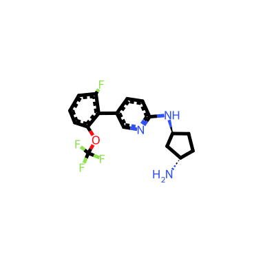 N[C@H]1CC[C@H](Nc2ccc(-c3c(F)cccc3OC(F)(F)F)cn2)C1